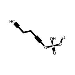 C#CCCC#COP(=O)(O)OCC